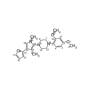 COc1ccc(N2CCN(c3c(C)c(-c4ccco4)[c]n3C)CC2)c(OC)c1